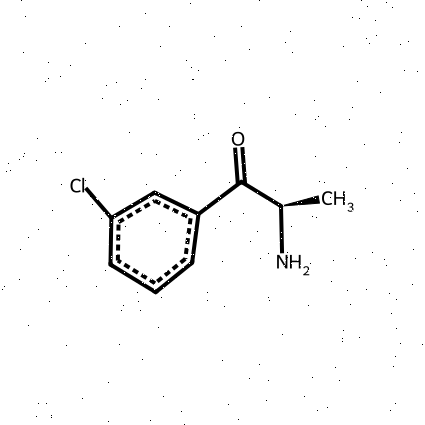 C[C@@H](N)C(=O)c1cccc(Cl)c1